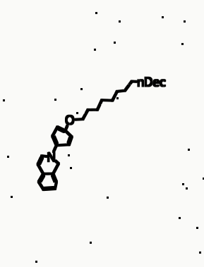 CCCCCCCCCCCCCCCCCCOc1ccc(N2C=Cc3ccccc3C2)cc1